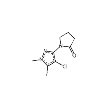 Cc1c(Cl)c(N2CCCC2=O)nn1C